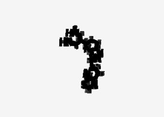 CN/C=C(\C=N)c1ccc2nnn(Cc3ccc4ncsc4n3)c2n1